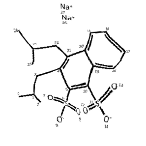 CC(C)Cc1c(S(=O)(=O)[O-])c(S(=O)(=O)[O-])c2ccccc2c1CC(C)C.[Na+].[Na+]